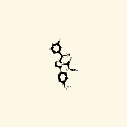 COc1ccc([C@H]2CC[C@H]([C@H](O)c3cccc(F)c3)N2C(=O)OC(C)(C)C)cc1